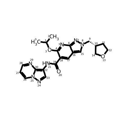 CC(C)Oc1nc2nn(C[C@@H]3CCOC3)cc2cc1C(=O)Nc1cnn2cccnc12